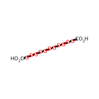 O=C(O)CCOCCOCCOCCOCCOCCOCCOCCOCCOCCOCCOCCC(=O)O